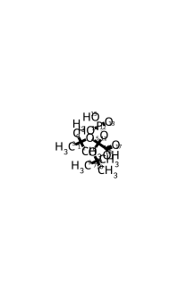 CC(C)(C)OC(OC(C)(C)C)(OP(=O)(O)O)C(=O)O